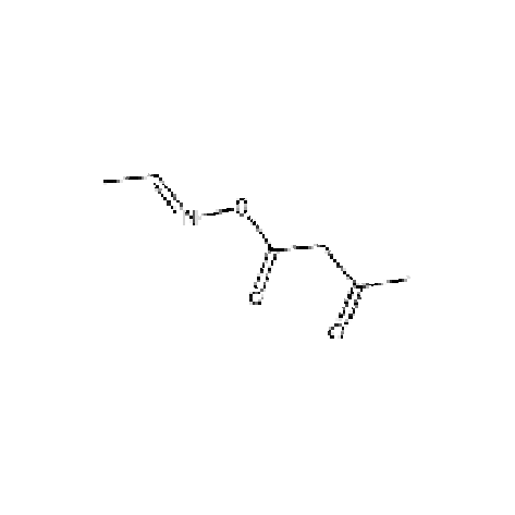 CC=NOC(=O)CC(C)=O